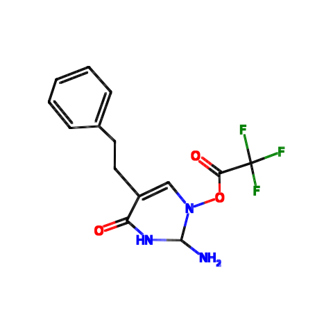 NC1NC(=O)C(CCc2ccccc2)=CN1OC(=O)C(F)(F)F